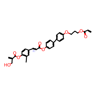 C=CC(=O)OCCCOc1ccc(-c2ccc(OC(=O)/C=C/c3ccc(OC(=O)C(=C)CO)c(C)c3)cc2)cc1